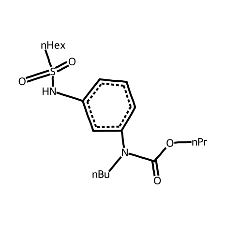 CCCCCCS(=O)(=O)Nc1cccc(N(CCCC)C(=O)OCCC)c1